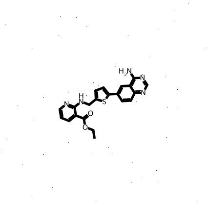 CCOC(=O)c1cccnc1NCc1ccc(-c2ccc3ncnc(N)c3c2)s1